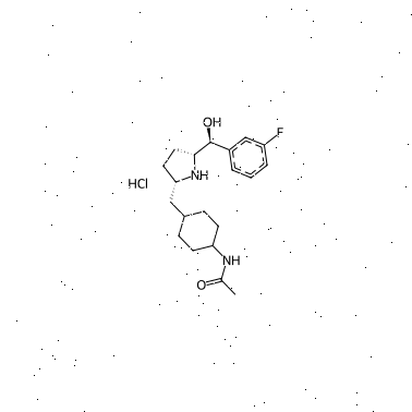 CC(=O)NC1CCC(C[C@@H]2CC[C@H]([C@@H](O)c3cccc(F)c3)N2)CC1.Cl